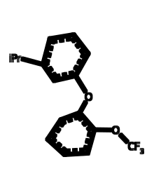 CC(C)c1cccc(Oc2ccccc2OC(F)(F)F)c1